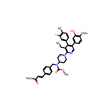 COC(=O)/C=C/c1ccc(CN(C(=O)OC(C)(C)C)C2CCN(c3ncc(-c4ccc(OC)c(O)c4)c(-c4ccc(C#N)c(F)c4)c3CC#N)CC2)cc1